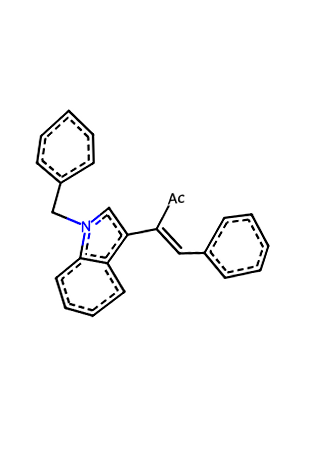 CC(=O)C(=Cc1ccccc1)c1cn(Cc2ccccc2)c2ccccc12